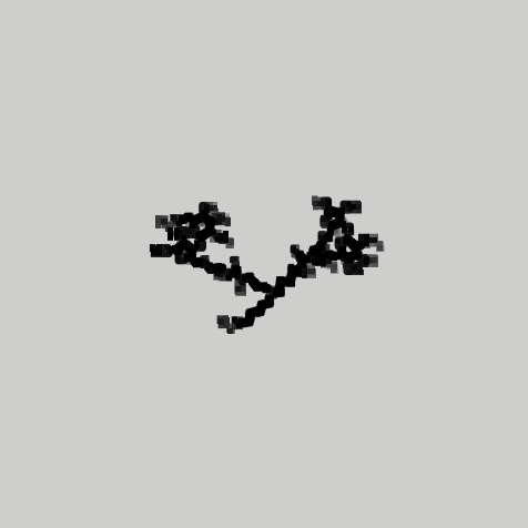 NCCCCCN(CCCCNC(=S)NCCSC[C@H]1OC(O)[C@@H](O)[C@H]1O[C@H]1O[C@@H](CN)[C@@H](O)C(O)C1N)CCCNC(=S)NCCSC[C@H]1OC(O)[C@@H](O)[C@H]1O[C@H]1O[C@@H](CN)[C@@H](O)C(O)C1N